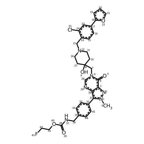 Cn1nc2c(=O)n(CC3(O)CCN(Cc4ccc(-c5ccco5)cc4Cl)CC3)cnc2c1-c1ccc(CNC(=O)OCCF)cc1